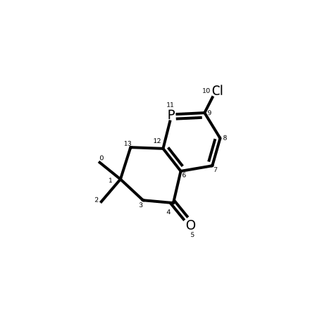 CC1(C)CC(=O)c2ccc(Cl)pc2C1